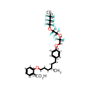 C[C@H](CCCOc1ccccc1C(=O)O)CCc1ccc(OCC(F)(F)OC(F)(F)C(F)(F)OC(F)(F)C(F)(F)C(F)(F)C(F)(F)F)cc1